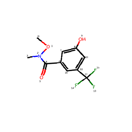 CON(C)C(=O)c1cc(O)cc(C(F)(F)F)c1